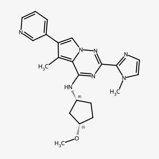 CO[C@H]1CC[C@@H](Nc2nc(-c3nccn3C)nn3cc(-c4cccnc4)c(C)c23)C1